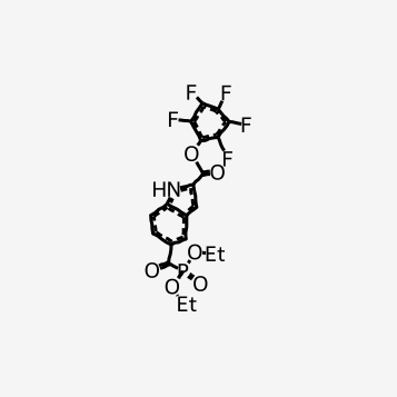 CCOP(=O)(OCC)C(=O)c1ccc2[nH]c(C(=O)Oc3c(F)c(F)c(F)c(F)c3F)cc2c1